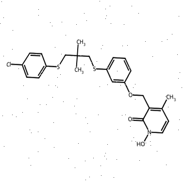 Cc1ccn(O)c(=O)c1COc1cccc(SCC(C)(C)CSc2ccc(Cl)cc2)c1